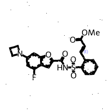 COC(=O)/C=C/c1ccccc1S(=O)(=O)NC(=O)c1cc2c(F)cc(N3CCC3)cc2o1